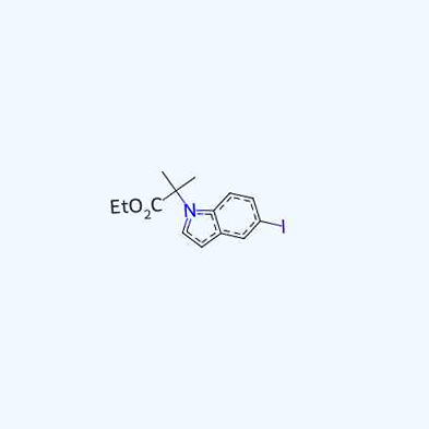 CCOC(=O)C(C)(C)n1ccc2cc(I)ccc21